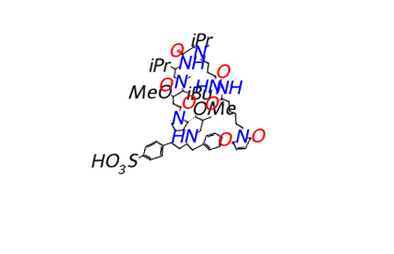 CCC(C)C(C(CC(=O)N1CCC[C@H]1C(OC)C(C)CNC(CCc1ccc(S(=O)(=O)O)cc1)Cc1ccccc1)OC)N(C)C(=O)C(NC(=O)C(C(C)C)N(C)CCCC(=O)NNC(=O)CCCCCN1C(=O)C=CC1=O)C(C)C